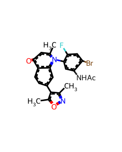 CC(=O)Nc1cc(-n2c(C)cc(=O)c3ccc(-c4c(C)noc4C)cc32)c(F)cc1Br